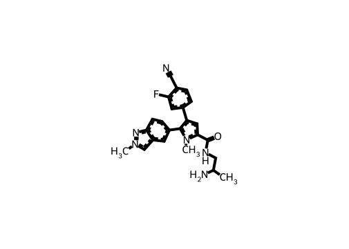 CC(N)CNC(=O)c1cc(-c2ccc(C#N)c(F)c2)c(-c2ccc3nn(C)cc3c2)n1C